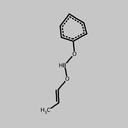 CC=COBOc1ccccc1